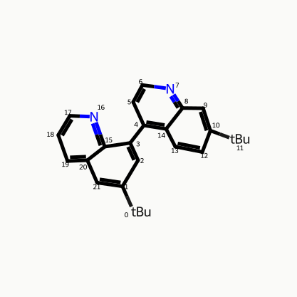 CC(C)(C)c1cc(-c2ccnc3cc(C(C)(C)C)ccc23)c2ncccc2c1